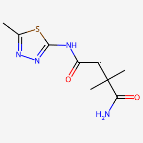 Cc1nnc(NC(=O)[CH]C(C)(C)C(N)=O)s1